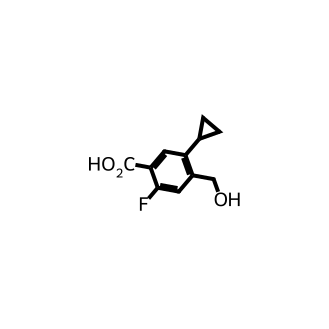 O=C(O)c1cc(C2CC2)c(CO)cc1F